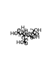 C[C@@H](O)[C@H](NC(=O)[C@H](CCC(=O)O)NC(=O)[C@@H](N)CC(=O)O)C(=O)O